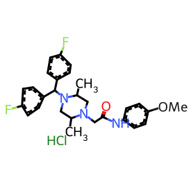 COc1ccc(NC(=O)CN2CC(C)N(C(c3ccc(F)cc3)c3ccc(F)cc3)CC2C)cc1.Cl